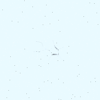 CC[Si](CC)C1C(C)=C(C)C(C)=C1C